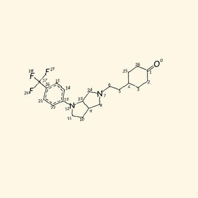 O=C1CCC(CCN2CC3CCN(c4ccc(C(F)(F)F)cc4)C3C2)CC1